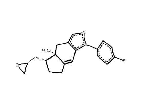 C[C@]12Cc3cnn(-c4ccc(F)cc4)c3C=C1CC[C@@H]2C[C@@H]1CO1